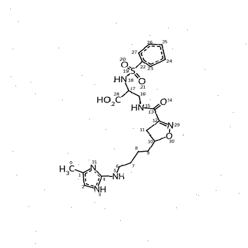 Cc1c[nH]c(NCCCCC2CC(C(=O)NCC(NS(=O)(=O)c3ccccc3)C(=O)O)=NO2)n1